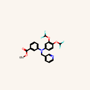 CC(C)(C)OC(=O)c1cccc(N(Cc2cccnc2)c2ccc(OC(F)F)c(OC(F)F)c2)c1